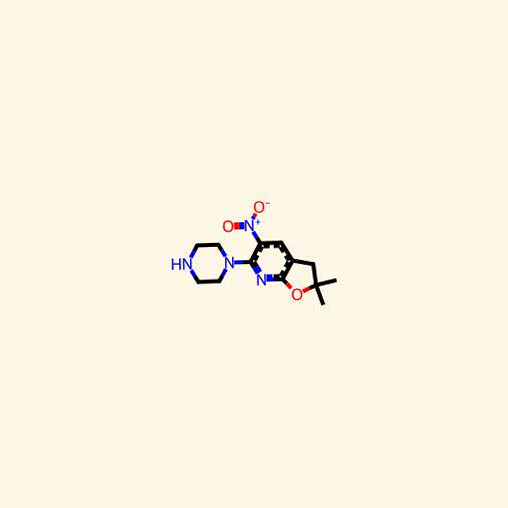 CC1(C)Cc2cc([N+](=O)[O-])c(N3CCNCC3)nc2O1